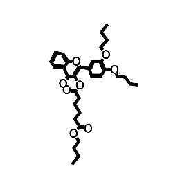 CCCCOC(=O)CCCCC(=O)Oc1c(-c2ccc(OCCCC)c(OCCCC)c2)oc2ccccc2c1=O